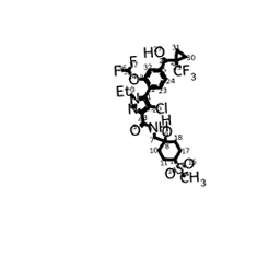 CCn1nc(C(=O)NCC2(O)CCC(S(C)(=O)=O)CC2)c(Cl)c1-c1ccc(C(O)C2(C(F)(F)F)CC2)cc1OC(F)F